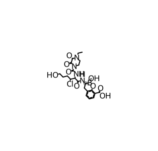 CCN1CCN(C(=O)NC(C(=O)N[C@H]2Cc3cccc(C(=O)O)c3OB2O)C(Cl)CCCO)C(=O)C1=O